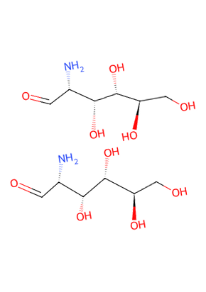 N[C@@H](C=O)[C@@H](O)[C@H](O)[C@H](O)CO.N[C@@H](C=O)[C@@H](O)[C@H](O)[C@H](O)CO